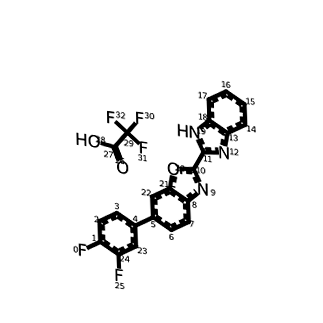 Fc1ccc(-c2ccc3nc(-c4nc5ccccc5[nH]4)oc3c2)cc1F.O=C(O)C(F)(F)F